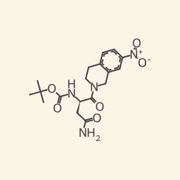 CC(C)(C)OC(=O)N[C@H](CC(N)=O)C(=O)N1CCc2ccc([N+](=O)[O-])cc2C1